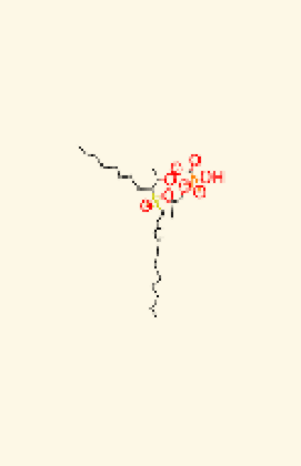 CCCCCCCCCCCS(=O)(=O)C(CCCCCCCC)C(C)OOC(=O)P(=O)(O)OCCC